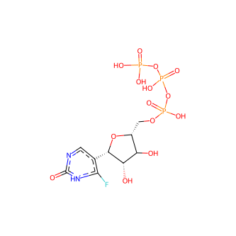 O=c1ncc([C@@H]2O[C@H](COP(=O)(O)OP(=O)(O)OP(=O)(O)O)C(O)[C@@H]2O)c(F)[nH]1